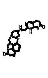 O=C1CCC2=CN=C(CNC3CCN(CC4Cn5c(=O)cnc6ccc(F)c4c65)CC3)NC2=N1